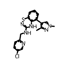 Cc1nn(C)cc1-c1cccc2c1NC(NCc1ccc(Cl)cn1)=NS2